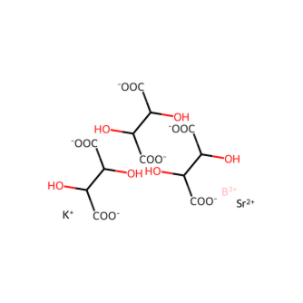 O=C([O-])C(O)C(O)C(=O)[O-].O=C([O-])C(O)C(O)C(=O)[O-].O=C([O-])C(O)C(O)C(=O)[O-].[B+3].[K+].[Sr+2]